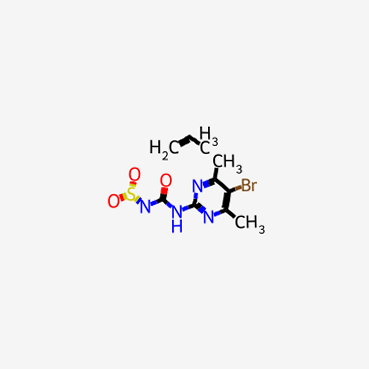 C=CC.Cc1nc(NC(=O)N=S(=O)=O)nc(C)c1Br